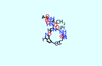 C=C[C@@H]1C[C@]1(NC(=O)C1C[C@@H]2CN1C(=O)[C@H](C(C)C)Nc1nnc(o1)CCCCCc1ccc3c(I)cnc(c3c1)O2)C(=O)NS(=O)(=O)C1CC1